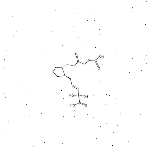 O=C(O)CCC(=O)CC[C@H]1CCC[C@@H]1C/C=C/C(O)(O)C(=O)O